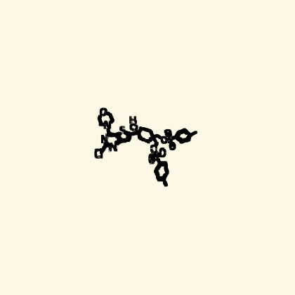 Cc1ccc(S(=O)(=O)OCC2(COS(=O)(=O)c3ccc(C)cc3)CCC(O)(c3cc4nc(Cl)nc(N5CCOCC5)c4s3)CC2)cc1